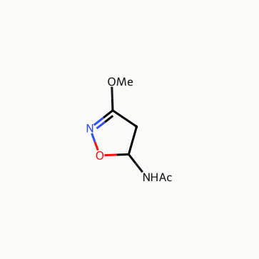 COC1=NOC(NC(C)=O)C1